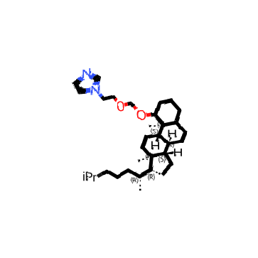 CC(C)CCC[C@@H](C)[C@H]1CC[C@H]2[C@@H]3CCC4CCCC(OCOCCn5ccnc5)[C@]4(C)[C@H]3CC[C@]12C